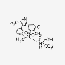 Cc1cnccc1-c1cccc(C(C)N(CCCC(=O)NC(CO)C(=O)O)S(=O)(=O)c2cccc(Cl)c2C)c1